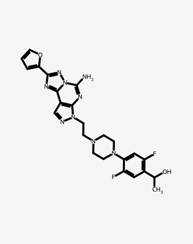 CC(O)c1cc(F)c(N2CCN(CCn3ncc4c3nc(N)n3nc(-c5ccco5)nc43)CC2)cc1F